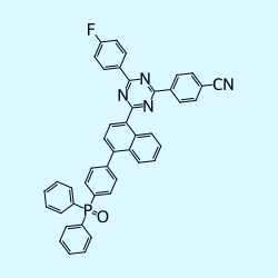 N#Cc1ccc(-c2nc(-c3ccc(F)cc3)nc(-c3ccc(-c4ccc(P(=O)(c5ccccc5)c5ccccc5)cc4)c4ccccc34)n2)cc1